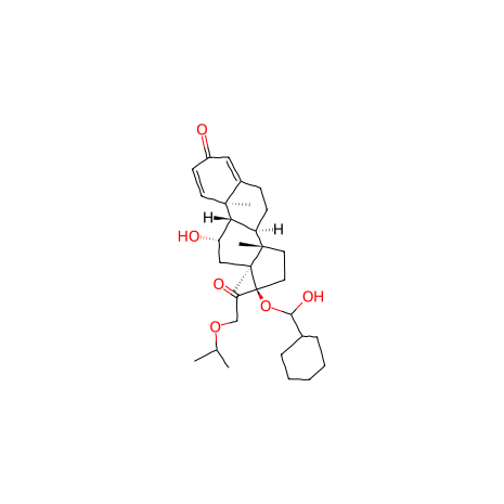 CC(C)OCC(=O)[C@@]1(OC(O)C2CCCCC2)CC[C@@]2(C)[C@@H]3CCC4=CC(=O)C=C[C@]4(C)[C@H]3[C@@H](O)C[C@]12C